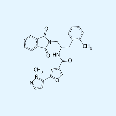 Cc1ccccc1C[C@@H](CN1C(=O)c2ccccc2C1=O)NC(=O)c1coc(-c2ccnn2C)c1